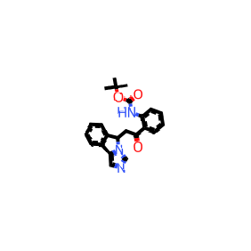 CC(C)(C)OC(=O)Nc1ccccc1C(=O)CC1c2ccccc2-c2cncn21